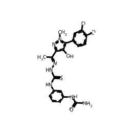 C/C(=N\NC(=S)Nc1cccc(NC(N)=O)c1)c1nn(C)c(-c2ccc(Cl)c(Cl)c2)c1O